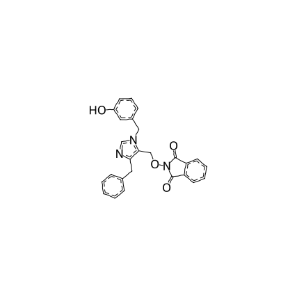 O=C1c2ccccc2C(=O)N1OCc1c(Cc2ccccc2)ncn1Cc1cccc(O)c1